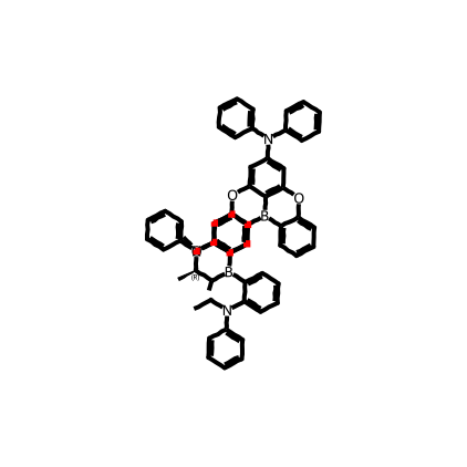 CCN(c1ccccc1)c1ccccc1B(c1cc2c(cc1OC)Oc1cc(N(c3ccccc3)c3ccccc3)cc3c1B2c1ccccc1O3)C(C)[C@@H](C)N(c1ccccc1)c1ccccc1